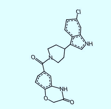 O=C1COc2ccc(C(=O)N3CCC(c4c[nH]c5cc(Cl)ccc45)CC3)cc2N1